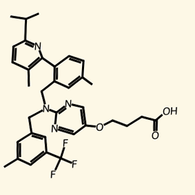 Cc1cc(CN(Cc2cc(C)ccc2-c2nc(C(C)C)ccc2C)c2ncc(OCCCC(=O)O)cn2)cc(C(F)(F)F)c1